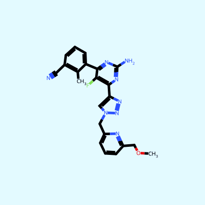 COCc1cccc(Cn2cc(-c3nc(N)nc(-c4cccc(C#N)c4C)c3F)nn2)n1